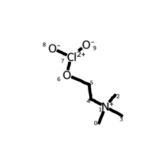 C[N+](C)(C)CCO[Cl+2]([O-])[O-]